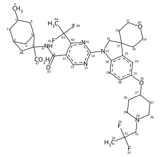 CC1CC2CC(C1)C(NC(=O)c1cnc(N3CC4(CCOCC4)c4cc(OC5CCN(CC(C)(F)F)CC5)ccc43)nc1C(C)(F)F)(C(=O)O)C2